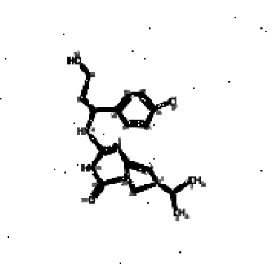 CC(C)N1C=C2N=C(NC(CCO)c3ccc(Cl)cc3)NC(=O)N2C1